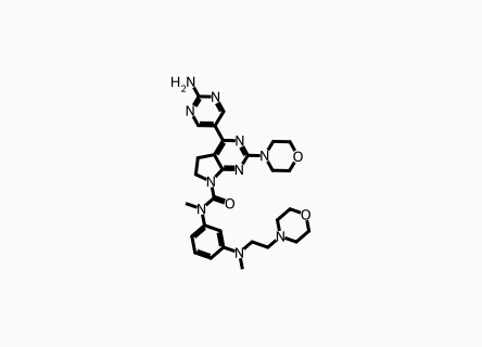 CN(CCN1CCOCC1)c1cccc(N(C)C(=O)N2CCc3c(-c4cnc(N)nc4)nc(N4CCOCC4)nc32)c1